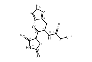 O=C1CC(C(=O)C(Cc2c[nH]cn2)NC(=O)CCl)C(=O)N1